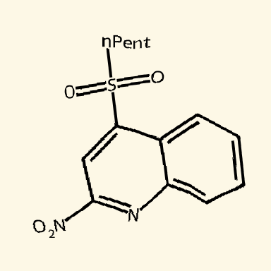 CCCCCS(=O)(=O)c1cc([N+](=O)[O-])nc2ccccc12